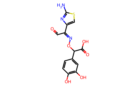 Nc1nc(C([C]=O)=NOC(C(=O)O)c2ccc(O)c(O)c2)cs1